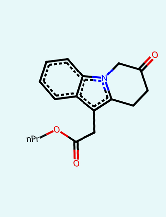 CCCOC(=O)Cc1c2n(c3ccccc13)CC(=O)CC2